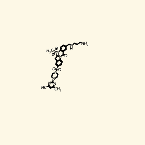 Cc1cc(C#N)nc(N2CCN(S(=O)(=O)c3ccc4c(c3)CCN4C(=O)c3cc(CNCCCN)ccc3NS(C)(=O)=O)CC2)n1